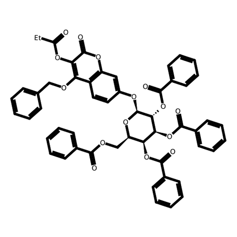 CCC(=O)Oc1c(OCc2ccccc2)c2ccc(O[C@@H]3O[C@H](COC(=O)c4ccccc4)[C@H](OC(=O)c4ccccc4)[C@H](OC(=O)c4ccccc4)[C@H]3OC(=O)c3ccccc3)cc2oc1=O